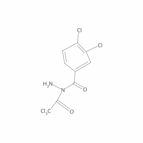 NN(C(=O)c1ccc(Cl)c(Cl)c1)C(=O)C(Cl)(Cl)Cl